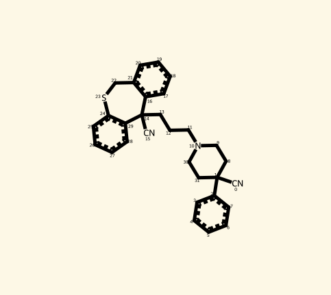 N#CC1(c2ccccc2)CCN(CCCC2(C#N)c3ccccc3CSc3ccccc32)CC1